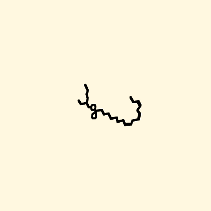 CC/C=C\C/C=C\C/C=C\CCCCCCCC(=O)OCC(CC)CCCC